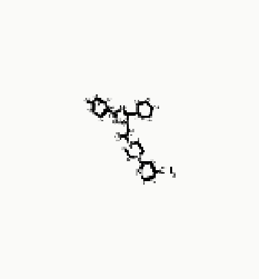 Cc1ccnc(N2CCN(C(=O)Cn3nc(-c4ccc(F)cc4)nc3C3CCCCC3)CC2)c1